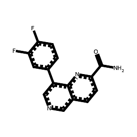 NC(=O)c1ccc2cncc(-c3ccc(F)c(F)c3)c2n1